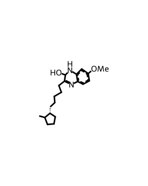 COc1ccc2c(c1)NC(O)C(CCCCC[C@@H]1CCCC1C)=N2